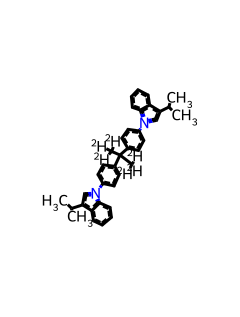 [2H]C([2H])([2H])C(c1ccc(-n2cc(C(C)C)c3ccccc32)cc1)(c1ccc(-n2cc(C(C)C)c3ccccc32)cc1)C([2H])([2H])[2H]